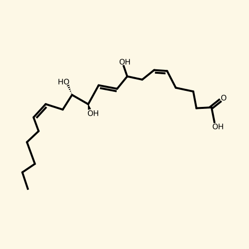 CCCCC/C=C\C[C@H](O)[C@H](O)/C=C/C(O)C/C=C\CCCC(=O)O